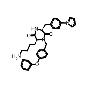 NCCCC[C@H]1C(=O)N[C@@H](Cc2ccc(-n3cccc3)cc2)C(=O)N1Cc1ccc(Oc2ccccc2)cc1